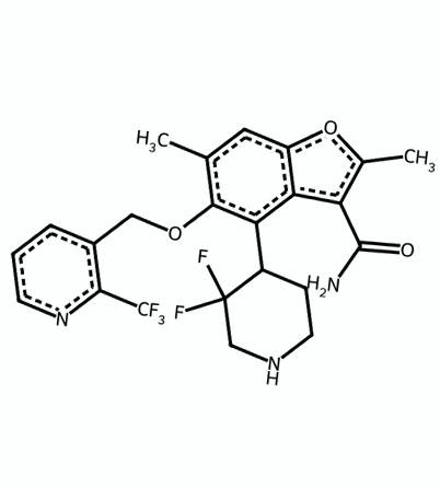 Cc1cc2oc(C)c(C(N)=O)c2c(C2CCNCC2(F)F)c1OCc1cccnc1C(F)(F)F